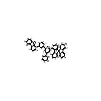 c1ccc(-c2cc(-c3cccc4c3-c3ccccc3C43c4ccccc4-c4ccccc43)nc(-c3cccc(-c4cccc5c4oc4ccccc45)c3)n2)cc1